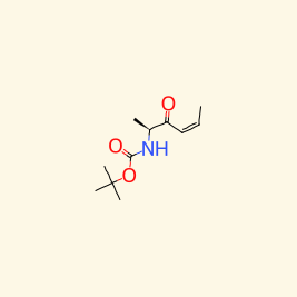 C/C=C\C(=O)[C@H](C)NC(=O)OC(C)(C)C